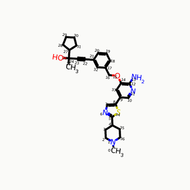 CN1CCC(c2ncc(-c3cnc(N)c(OCc4cccc(C#CC(C)(O)C5CCCC5)c4)c3)s2)CC1